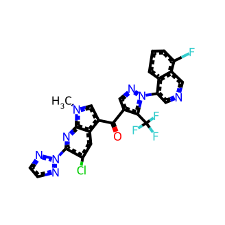 Cn1cc(C(=O)c2cnn(-c3cncc4c(F)cccc34)c2C(F)(F)F)c2cc(Cl)c(-n3nccn3)nc21